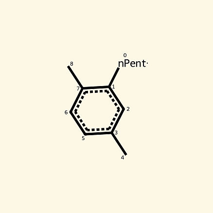 CCCC[CH]c1cc(C)ccc1C